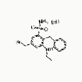 Br.CCNc1cc(CBr)cc(S(N)(=O)=O)c1Cc1ccccc1